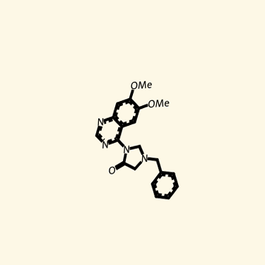 COc1cc2ncnc(N3CN(Cc4ccccc4)CC3=O)c2cc1OC